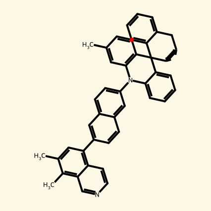 Cc1ccc2c(c1)N(c1ccc3cc(-c4cc(C)c(C)c5cnccc45)ccc3c1)c1ccccc1C21c2ccccc2Cc2ccccc21